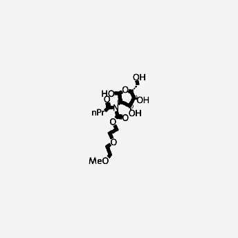 CCCC(=O)N(C(=O)OCCOCCOC)[C@H]1C(O)O[C@H](CO)[C@@H](O)[C@@H]1O